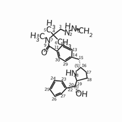 C=NNCC(C)(C)N(C)C(=O)c1ccc(C[C@@H]2CCC([C@H](O)c3ccccc3)N2)cc1